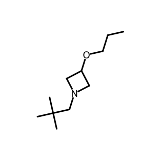 CCCOC1CN(CC(C)(C)C)C1